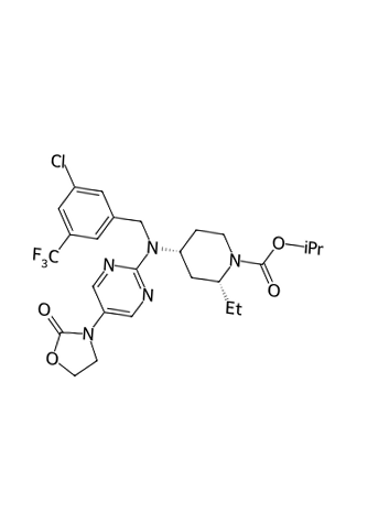 CC[C@@H]1C[C@H](N(Cc2cc(Cl)cc(C(F)(F)F)c2)c2ncc(N3CCOC3=O)cn2)CCN1C(=O)OC(C)C